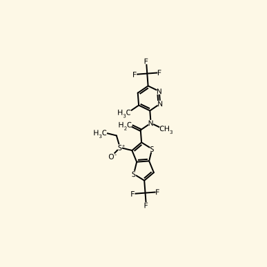 C=C(c1sc2cc(C(F)(F)F)sc2c1[S+]([O-])CC)N(C)c1nnc(C(F)(F)F)cc1C